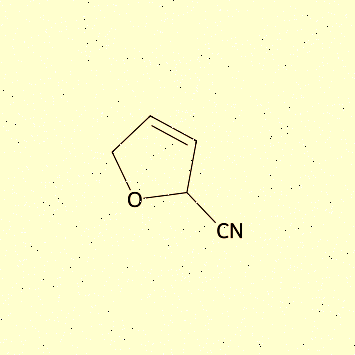 N#CC1C=CCO1